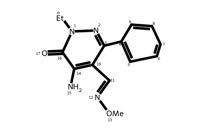 CCn1nc(-c2ccccc2)c(/C=N/OC)c(N)c1=O